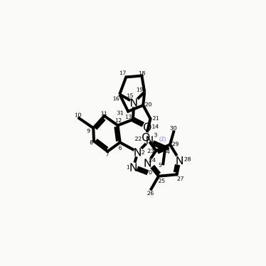 C=NN(/N=C\C)c1ccc(C)cc1C(=O)N1C2CCC1C(COc1nc(C)cnc1C)C2